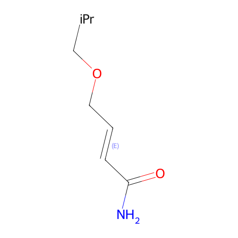 CC(C)COC/C=C/C(N)=O